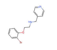 Brc1ccccc1OCCNCc1ccncc1